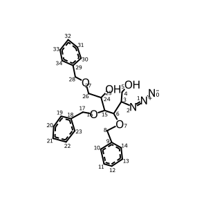 [N-]=[N+]=NC(CO)C(OCc1ccccc1)C(OCc1ccccc1)C(O)COCc1ccccc1